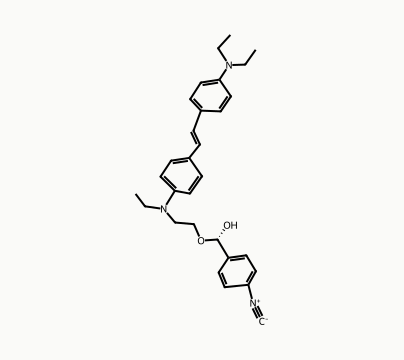 [C-]#[N+]c1ccc([C@@H](O)OCCN(CC)c2ccc(/C=C/c3ccc(N(CC)CC)cc3)cc2)cc1